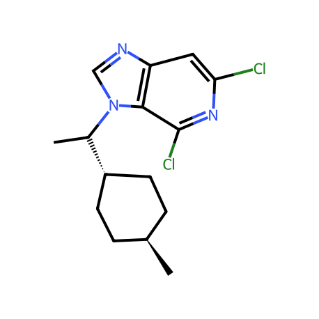 CC([C@H]1CC[C@H](C)CC1)n1cnc2cc(Cl)nc(Cl)c21